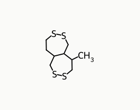 CC1CSSCC2CCSSCC12